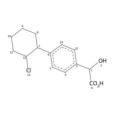 O=C(O)C(O)c1ccc(C2CCCCC2Cl)cc1